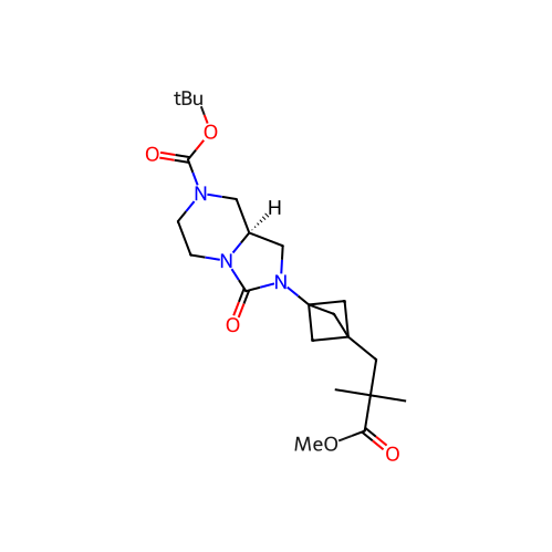 COC(=O)C(C)(C)CC12CC(N3C[C@@H]4CN(C(=O)OC(C)(C)C)CCN4C3=O)(C1)C2